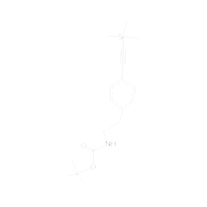 CC(C)(C)OC(=O)NCCc1ccc(C#C[Si](C)(C)C)cc1